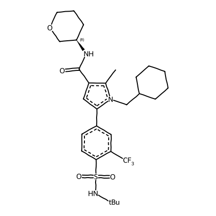 Cc1c(C(=O)N[C@@H]2CCCOC2)cc(-c2ccc(S(=O)(=O)NC(C)(C)C)c(C(F)(F)F)c2)n1CC1CCCCC1